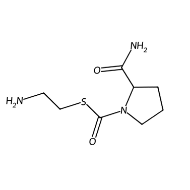 NCCSC(=O)N1CCCC1C(N)=O